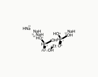 CCO.O=[PH](O)O.O=[PH](O)O.[NaH].[NaH].[NaH].[NaH]